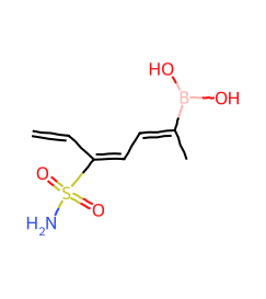 C=C/C(=C\C=C(/C)B(O)O)S(N)(=O)=O